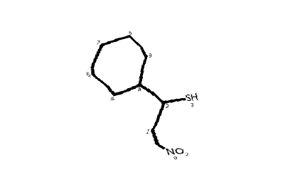 O=[N+]([O-])CC(S)C1CCCCC1